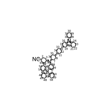 N#Cc1ccc(N(c2ccc(-c3ccc(-c4ccc5c(c4)c4ccccc4n5-c4ccccc4)cc3)cc2)c2ccc3c(c2)C(c2ccccc2)(c2ccccc2)c2ccccc2-3)cc1